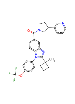 CC1(c2nc3cc(C(=O)N4CCC(c5cccnc5)C4)ccc3n2-c2ccc(OC(F)(F)F)cc2)CCC1